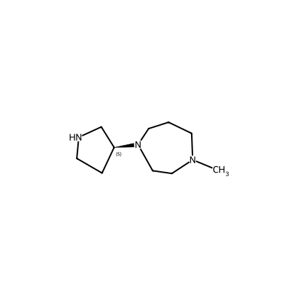 CN1CCCN([C@H]2CCNC2)CC1